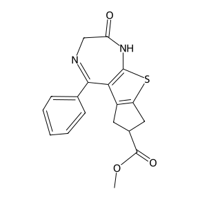 COC(=O)C1Cc2sc3c(c2C1)C(c1ccccc1)=NCC(=O)N3